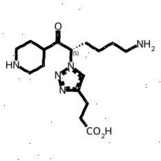 NCCCC[C@@H](C(=O)C1CCNCC1)n1cc(CCC(=O)O)nn1